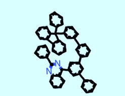 c1ccc(-c2cc(-c3cccc(-c4cccc(C5(c6ccccc6)c6ccccc6-c6ccccc65)c4)c3)cc(-c3nc(-c4ccccc4)nc4ccccc34)c2)cc1